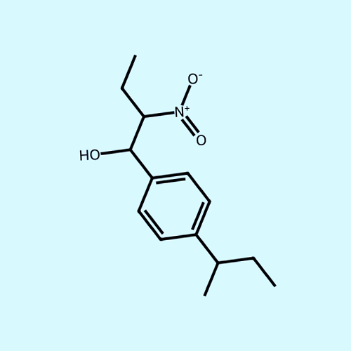 CCC(C)c1ccc(C(O)C(CC)[N+](=O)[O-])cc1